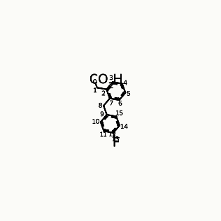 O=C(O)Cc1ccccc1Cc1ccc(F)cc1